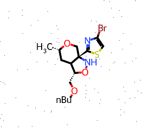 CCCCOC[C@H]1ON[C@@]2(c3nc(Br)cs3)CO[C@@H](C)CC12